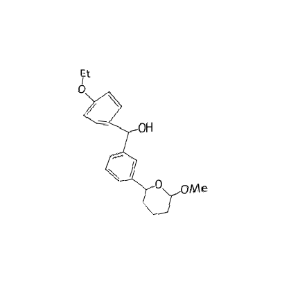 CCOc1ccc(C(O)c2cccc(C3CCCC(OC)O3)c2)cc1